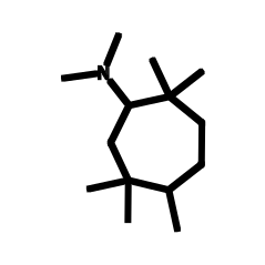 CC1CCC(C)(C)C(N(C)C)CC1(C)C